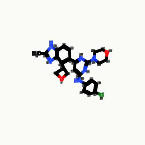 Cc1nc2c(C3COC3)c(-c3cc(Nc4ccc(Cl)cc4)nc(N4CCOCC4)n3)ccc2[nH]1